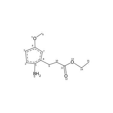 Bc1ccc(OC)cc1CCC(=O)OCC